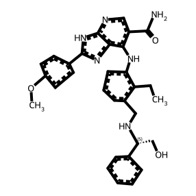 CCc1c(CN[C@H](CO)c2ccccc2)cccc1Nc1c(C(N)=O)cnc2[nH]c(-c3ccc(OC)cc3)nc12